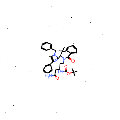 CC(C)(C)OC(=O)N[C@H](CCN(C(=O)c1ccccc1)[C@@H](c1nc(-c2ccccc2)cn1Cc1ccccc1)C(C)(C)C)CC(N)=O